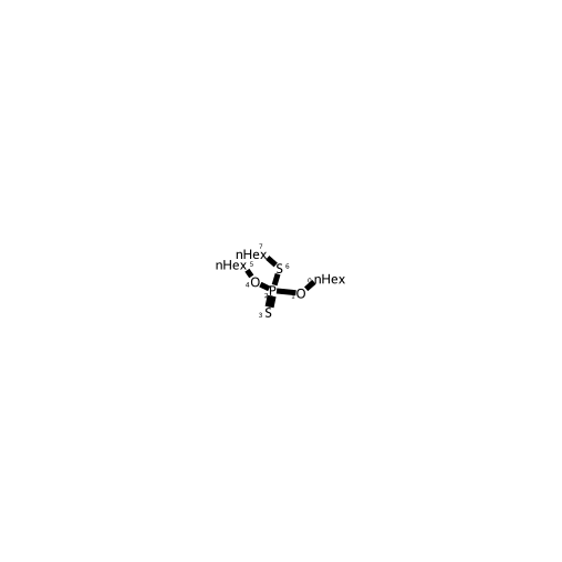 CCCCCCOP(=S)(OCCCCCC)SCCCCCC